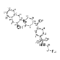 O=C(c1ccc(S(=O)(=O)NCCF)cc1)C1CCN(C2Cc3ccccc3CC2O)CC1